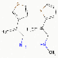 C=C(CN)c1ccsc1.C=C(CNC)c1cccs1